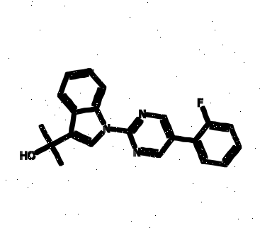 CC(C)(O)c1cn(-c2ncc(-c3ccccc3F)cn2)c2c[c]ccc12